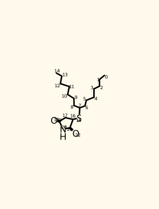 CCCCCCCC(CCCCCCC)SC1CC(=O)NC1=O